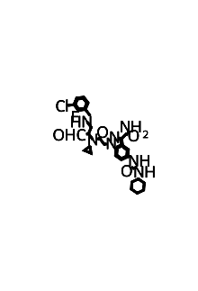 NC(=O)c1nn(CC(=O)N(C(C=O)CNCc2cccc(Cl)c2F)C2CC2)c2ccc(NC(=O)NC3CCCCC3)cc12